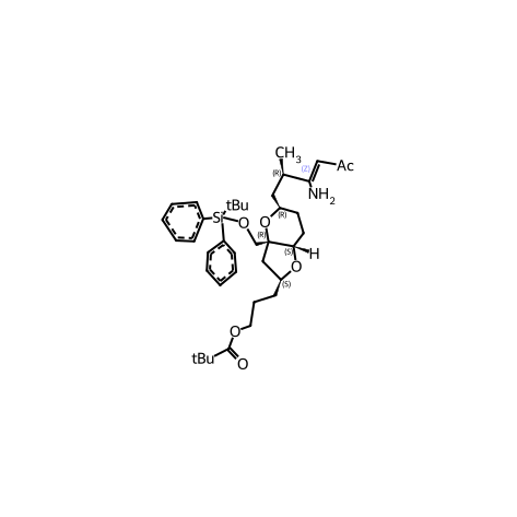 CC(=O)/C=C(\N)[C@H](C)C[C@H]1CC[C@@H]2O[C@@H](CCCOC(=O)C(C)(C)C)C[C@]2(CO[Si](c2ccccc2)(c2ccccc2)C(C)(C)C)O1